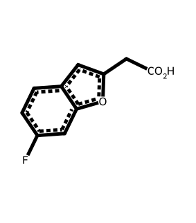 O=C(O)Cc1cc2ccc(F)cc2o1